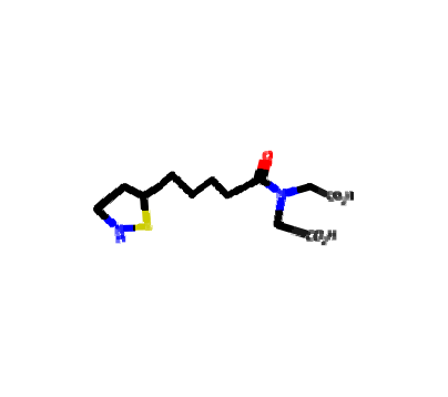 O=C(O)CN(CC(=O)O)C(=O)CCCCC1CCNS1